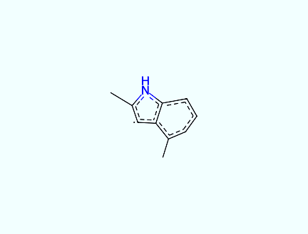 Cc1[c]c2c(C)cccc2[nH]1